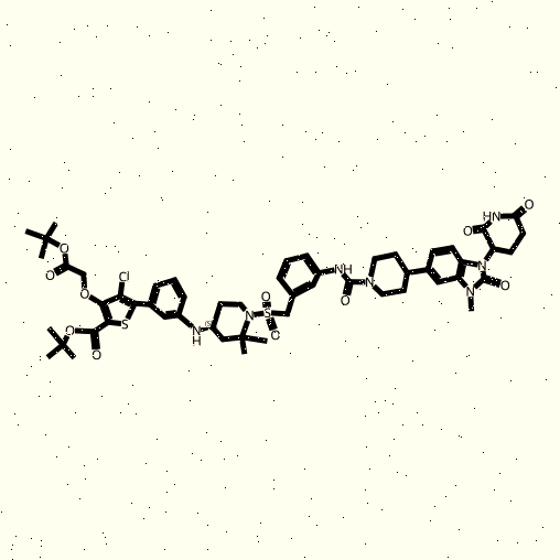 Cn1c(=O)n(C2CCC(=O)NC2=O)c2ccc(C3CCN(C(=O)Nc4cccc(CS(=O)(=O)N5CC[C@H](Nc6cccc(-c7sc(C(=O)OC(C)(C)C)c(OCC(=O)OC(C)(C)C)c7Cl)c6)CC5(C)C)c4)CC3)cc21